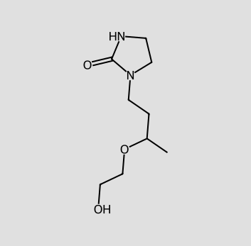 CC(CCN1CCNC1=O)OCCO